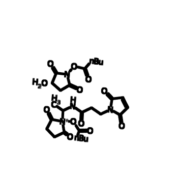 CCCCC(=O)ON1C(=O)CCC1=O.CCCCC(=O)O[N+]1(C(C)NC(=O)CCN2C(=O)C=CC2=O)C(=O)CCC1=O.O